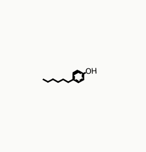 CCCCCCc1c#cc(O)cc1